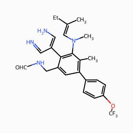 CC/C(C)=C/N(C)c1c(C)c(-c2ccc(OC(F)(F)F)cc2)cc(CNC=O)c1/C(C=N)=C/N